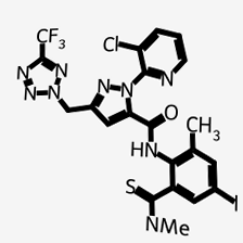 CNC(=S)c1cc(I)cc(C)c1NC(=O)c1cc(Cn2nnc(C(F)(F)F)n2)nn1-c1ncccc1Cl